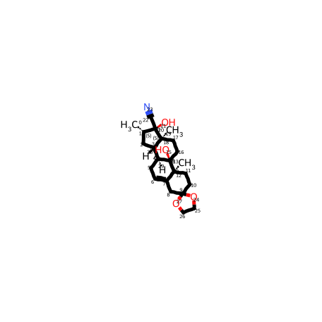 C[C@H]1C[C@H]2[C@@H]3CC=C4CC5(CC[C@]4(C)[C@@]3(O)CC[C@]2(C)[C@@]1(O)C#N)OCCO5